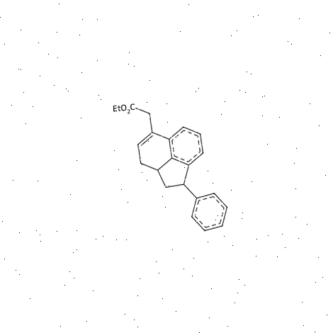 CCOC(=O)CC1=CCC2CC(c3ccccc3)c3cccc1c32